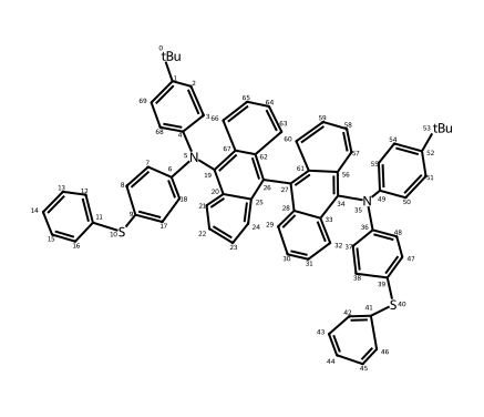 CC(C)(C)c1ccc(N(c2ccc(Sc3ccccc3)cc2)c2c3ccccc3c(-c3c4ccccc4c(N(c4ccc(Sc5ccccc5)cc4)c4ccc(C(C)(C)C)cc4)c4ccccc34)c3ccccc23)cc1